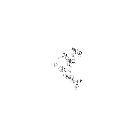 C#CCOc1cc(-n2nc3n(c2=O)CCCC3)c(Cl)cc1Cl.COc1cc(OC)nc(NC(=O)NS(=O)(=O)c2ncccc2C(=O)N(C)C)n1.C[S+](C)C.O=C(Nc1nc(OC(F)F)cc(OC(F)F)n1)NS(=O)(=O)c1ccccc1C(=O)O.O=C(O)CNCP(=O)([O-])O